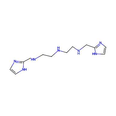 c1c[nH]c(CNCCNCCNCc2ncc[nH]2)n1